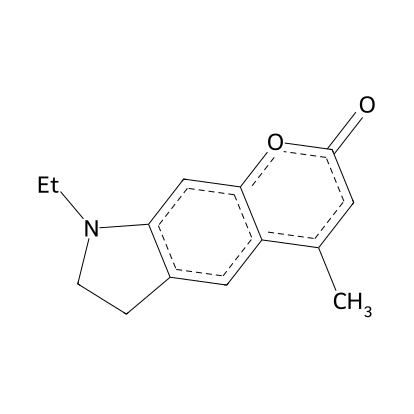 CCN1CCc2cc3c(C)cc(=O)oc3cc21